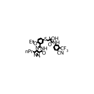 CCCc1nn(C)c2c(=O)[nH]c(-c3cc(SC[C@](C)(O)C(=O)Nc4ccc(C#N)c(C(F)(F)F)c4)ccc3OCC)nc12